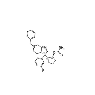 N=C[C@@](c1cccc(F)c1)(C1CCN(Cc2ccccc2)CC1)[C@H]1CCC[C@@H]1OC(N)=O